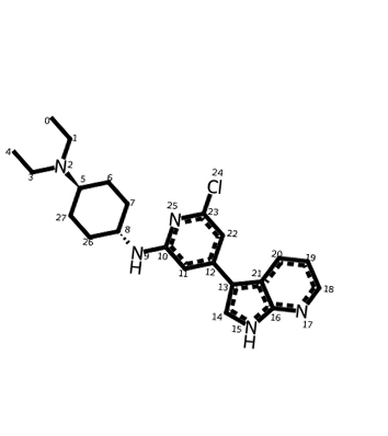 CCN(CC)[C@H]1CC[C@H](Nc2cc(-c3c[nH]c4ncccc34)cc(Cl)n2)CC1